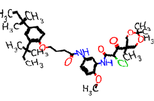 CCC(C)(C)c1ccc(OCCCC(=O)Nc2ccc(OC)c(NC(=O)C(Cl)C(=O)C3(C)COC(C)(C)OC3)c2)c(C(C)(C)CC)c1